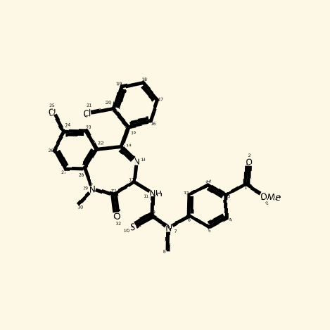 COC(=O)c1ccc(N(C)C(=S)NC2N=C(c3ccccc3Cl)c3cc(Cl)ccc3N(C)C2=O)cc1